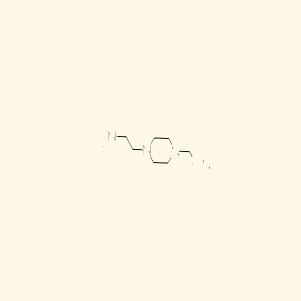 N#CCN1CCN(CCN)CC1